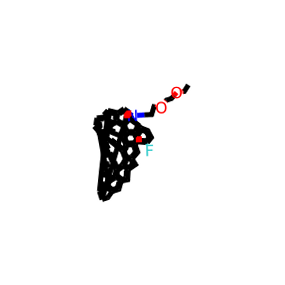 CCOCCOCCN1CC2C3=c4c5c6c7c(cc8cc9cc%10cc%11cc%12c%13c(c4c4c5c5c7c8c7c9c%10c8c%11c%13c4c8c75)=C(C3)C%12)CC62C1c1ccc(F)cc1